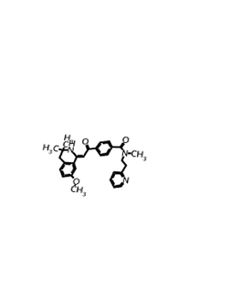 COc1ccc2c(c1)C(=CC(=O)c1ccc(C(=O)N(C)CCc3ccccn3)cc1)NC(C)(C)C2